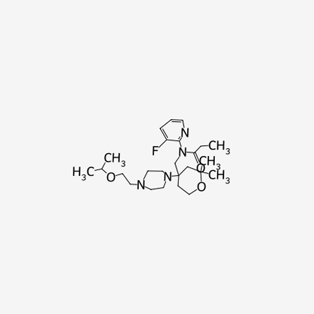 CCC(=O)N(CC1(N2CCN(CCOC(C)C)CC2)CCOC(C)(C)C1)c1ncccc1F